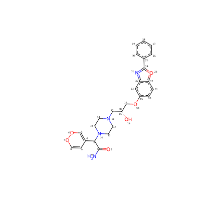 NC(=O)C(C1=COOC=C1)N1CCN(C[C@@H](O)COc2ccc3oc(-c4ccccc4)nc3c2)CC1